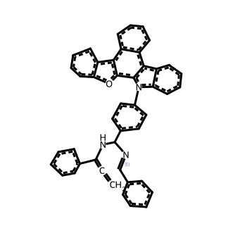 C=C=C(NC(/N=C/c1ccccc1)c1ccc(-n2c3ccccc3c3c4ccccc4c4c5ccccc5oc4c32)cc1)c1ccccc1